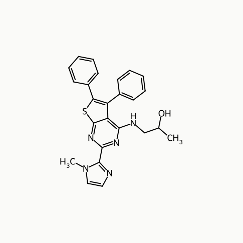 CC(O)CNc1nc(-c2nccn2C)nc2sc(-c3ccccc3)c(-c3ccccc3)c12